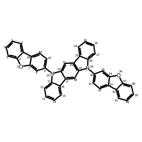 c1ccc2c(c1)oc1cc(-n3c4ccccc4c4cc5c(cc43)c3ccccc3n5-c3ccc4c(c3)oc3ccccc34)ccc12